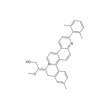 CO/C(CO)=C1\Cc2cc(C)ccc2-c2c3ccc4nc(-c5c(C)cccc5C)ccc4c3cc[n+]21